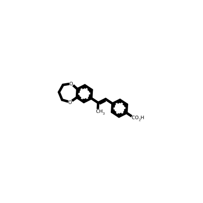 CC(=Cc1ccc(C(=O)O)cc1)c1ccc2c(c1)OCCCO2